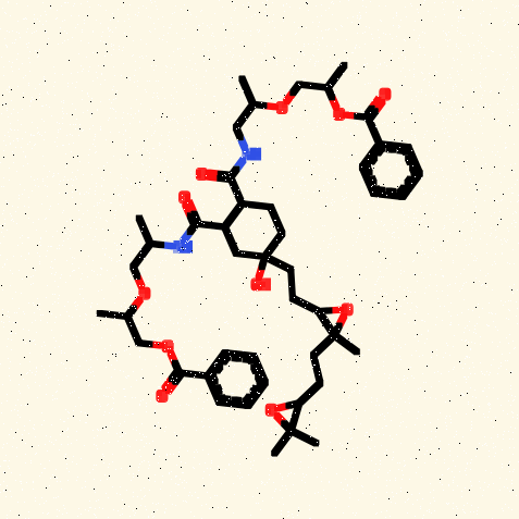 CC(COC(C)COC(=O)c1ccccc1)NC(=O)C1CC(O)(CCC2OC2(C)CCC2OC2(C)C)CCC1C(=O)NCC(C)OCC(C)OC(=O)c1ccccc1